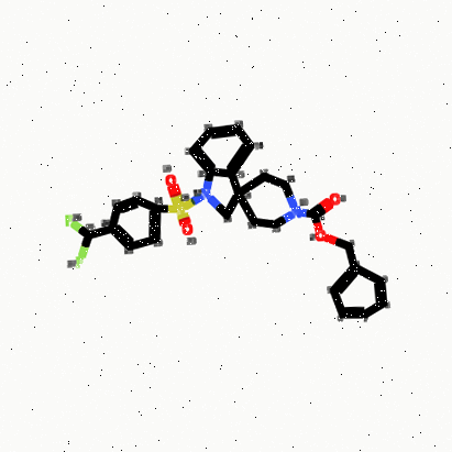 O=C(OCc1ccccc1)N1CCC2(CC1)CN(S(=O)(=O)c1ccc(C(F)F)cc1)c1ccccc12